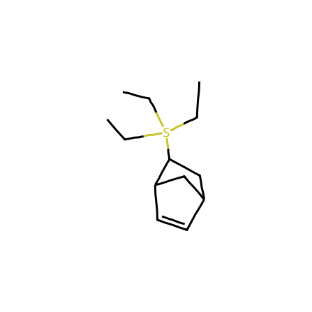 CCS(CC)(CC)C1CC2C=CC1C2